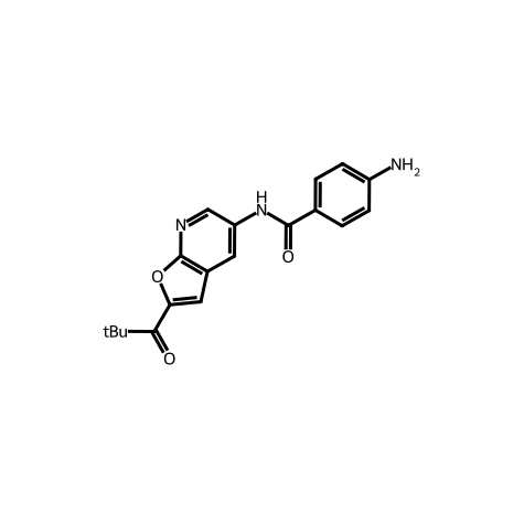 CC(C)(C)C(=O)c1cc2cc(NC(=O)c3ccc(N)cc3)cnc2o1